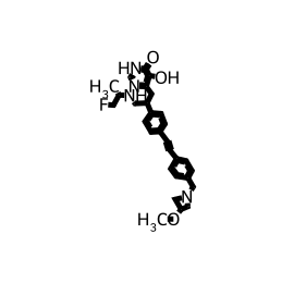 COC1CN(Cc2ccc(C#Cc3ccc(C(CNC(C)CF)Cc4nc[nH]c(=O)c4O)cc3)cc2)C1